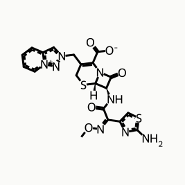 CO/N=C(\C(=O)N[C@@H]1C(=O)N2C(C(=O)[O-])=C(Cn3cc4cccc[n+]4n3)CS[C@@H]12)c1csc(N)n1